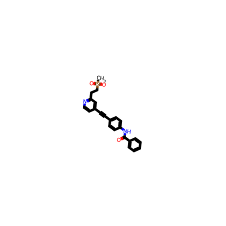 CS(=O)(=O)CCc1cc(C#Cc2ccc(NC(=O)c3ccccc3)cc2)ccn1